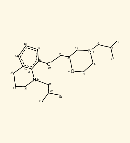 CC(C)CN1CCOC(COc2cccc3c2N(CC(C)C)CCC3)C1